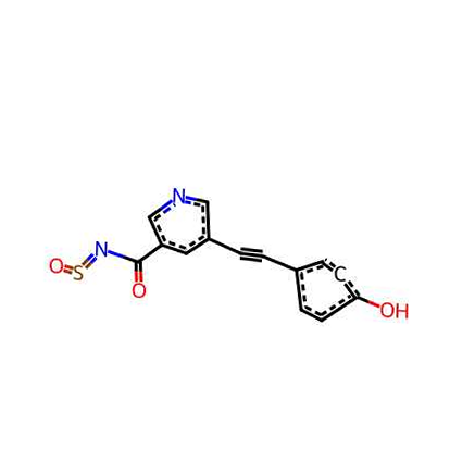 O=S=NC(=O)c1cncc(C#Cc2ccc(O)cc2)c1